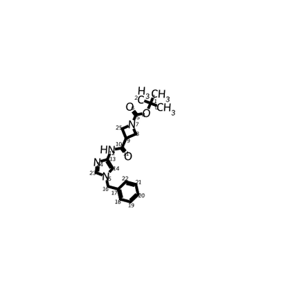 CC(C)(C)OC(=O)N1CC(C(=O)Nc2cn(Cc3ccccc3)cn2)C1